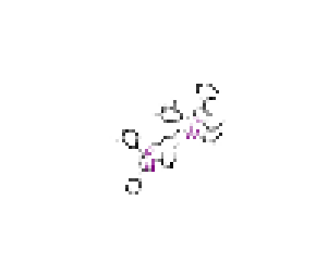 Cc1cccc(C2=CC(c3ccccc3)=CC(c3cccc(C)c3)=[PH]2CCCCCC[PH]2=C(c3ccc(C)cc3C)C=C(c3ccccc3)C=C2c2ccc(C)cc2C)c1